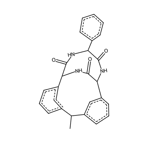 CC1c2cccc(c2)C2NC(=O)C(c3ccccc3)NC(=O)C(NC2=O)c2cccc1c2